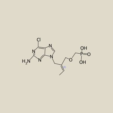 C/C=C(/COCP(=O)(O)O)Cn1cnc2c(Cl)nc(N)nc21